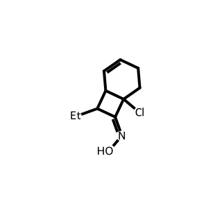 CCC1C(=NO)C2(Cl)CCC=CC12